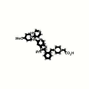 COC1CCN(C2(Nc3cc4c(cn3)nc(-c3ccccc3CN3CCN(CC(=O)O)CC3)n4C(C)C)C=CN=CN2)CC1